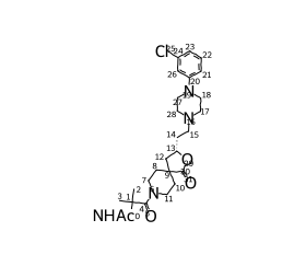 CC(=O)NC(C)(C)C(=O)N1CCC2(CC1)C[C@H](CCN1CCN(c3cccc(Cl)c3)CC1)OC2=O